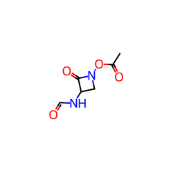 CC(=O)ON1CC(NC=O)C1=O